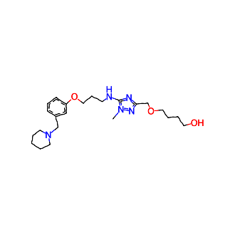 Cn1nc(COCCCCO)nc1NCCCOc1cccc(CN2CCCCC2)c1